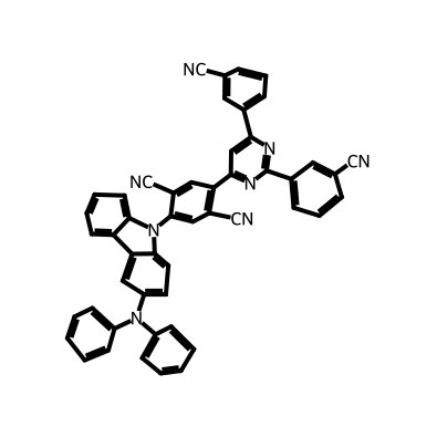 N#Cc1cccc(-c2cc(-c3cc(C#N)c(-n4c5ccccc5c5cc(N(c6ccccc6)c6ccccc6)ccc54)cc3C#N)nc(-c3cccc(C#N)c3)n2)c1